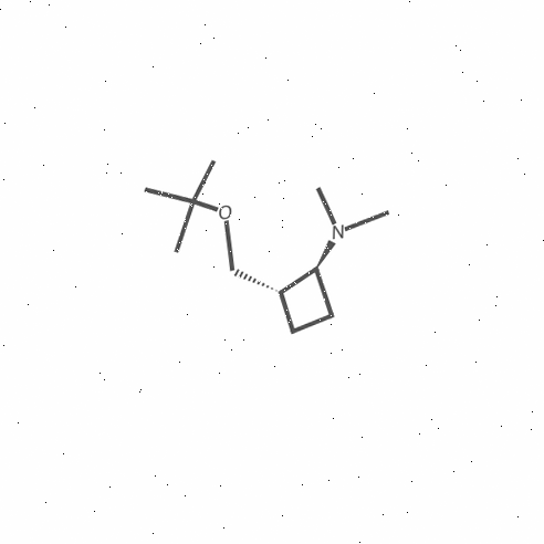 CN(C)[C@H]1CC[C@@H]1COC(C)(C)C